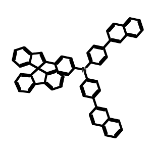 C1=C(c2ccc(N(c3ccc(-c4ccc5ccccc5c4)cc3)c3ccc(-c4ccc5ccccc5c4)cc3)cc2)C2(c3ccccc31)c1ccccc1-c1ccccc12